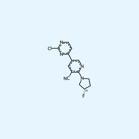 N#Cc1cc(-c2ccnc(Cl)n2)cnc1N1CC[C@H](F)C1